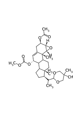 COC(=O)O[C@@H]1C=C2C[C@@H](OC(C)=O)[C@@H]3O[C@@H]3[C@]2(C)C2CC[C@@]3(C)C(CC[C@@H]3C(C)C3OCC(C)(C)CO3)C21